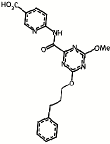 COc1nc(OCCCc2ccccc2)nc(C(=O)Nc2ccc(C(=O)O)cn2)n1